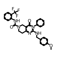 COc1ccc(CNc2nc3c(c(=O)n2-c2ccccc2)CN(C(=O)Nc2ccccc2C(F)(F)F)CC3)cc1